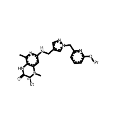 CC[C@H]1C(=O)Nc2c(cc(NCc3cnn(Cc4cccc(OC(C)C)n4)c3)nc2C)N1C